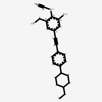 CCC1CCC(c2ccc(C#Cc3cc(F)c(SC#N)c(CF)c3)cc2)CC1